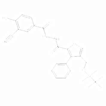 CC(C)(C)[Si](C)(C)OCc1coc(C(=O)NNC(=O)c2ccc(O)c(C#N)c2)c1-c1ccccc1